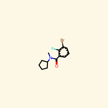 CN(C(=O)c1cccc(Br)c1F)C1CCCC1